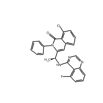 C[C@H](Nc1ncnc2cccc(F)c12)c1cc2cccc(Cl)c2c(=O)n1-c1ccccc1